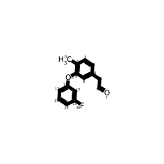 Cc1ccc(CC=O)cc1Oc1cccc(F)c1